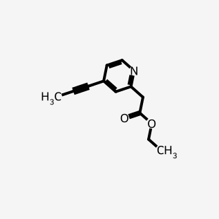 CC#Cc1ccnc(CC(=O)OCC)c1